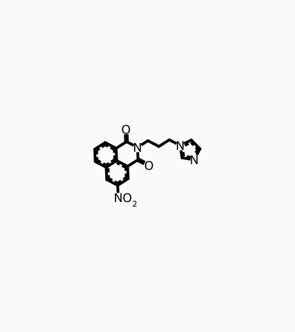 O=C1c2cccc3cc([N+](=O)[O-])cc(c23)C(=O)N1CCCn1ccnc1